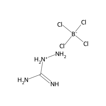 Cl[B-](Cl)(Cl)Cl.N=C(N)[NH2+]N